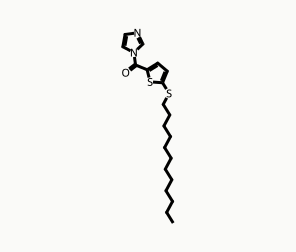 CCCCCCCCCCCCSc1ccc(C(=O)n2ccnc2)s1